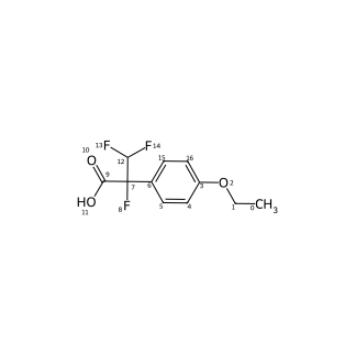 CCOc1ccc(C(F)(C(=O)O)C(F)F)cc1